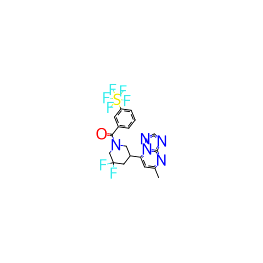 Cc1cc(C2CN(C(=O)c3cccc(S(F)(F)(F)(F)F)c3)CC(F)(F)C2)n2ncnc2n1